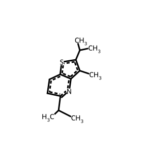 Cc1c(C(C)C)sc2ccc(C(C)C)nc12